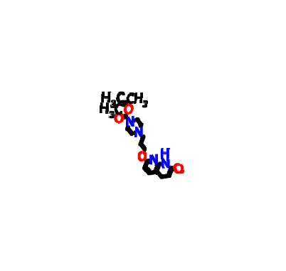 CC(C)(C)OC(=O)N1CCN(CCCOc2ccc3c(n2)NC(=O)CC3)CC1